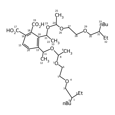 CCCCC(CC)COCCOC(C)OC(C)c1ccc(C(=O)O)c(C(=O)O)c1C(C)OC(C)OCCOCC(CC)CCCC